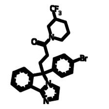 O=C(CCC1(c2ccc(Br)cc2)c2ccccc2-c2nccn21)N1CCCC(C(F)(F)F)C1